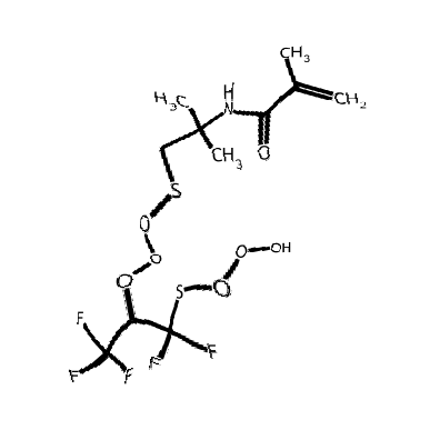 C=C(C)C(=O)NC(C)(C)CSOOOC(C(F)(F)F)C(F)(F)SOOO